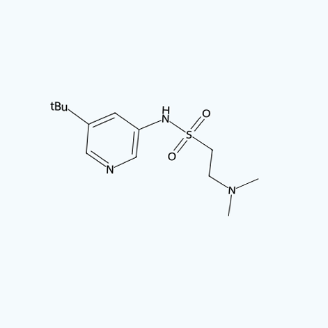 CN(C)CCS(=O)(=O)Nc1cncc(C(C)(C)C)c1